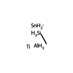 C[SiH3].[AlH3].[SnH2].[Ti]